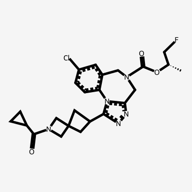 C[C@@H](CF)OC(=O)N1Cc2cc(Cl)ccc2-n2c(nnc2C2CC3(C2)CN(C(=O)C2CC2)C3)C1